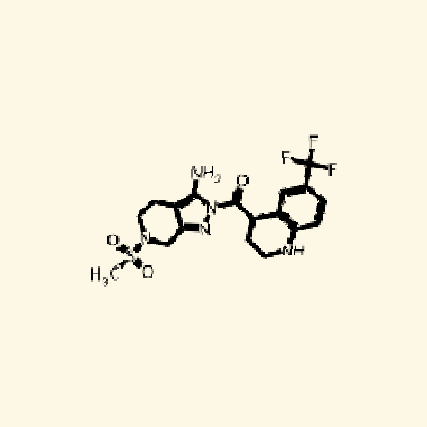 CS(=O)(=O)N1CCc2c(nn(C(=O)C3CCNc4ccc(C(F)(F)F)cc43)c2N)C1